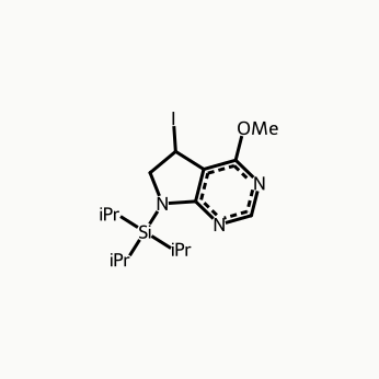 COc1ncnc2c1C(I)CN2[Si](C(C)C)(C(C)C)C(C)C